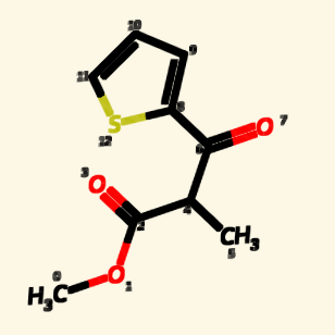 COC(=O)C(C)C(=O)c1cccs1